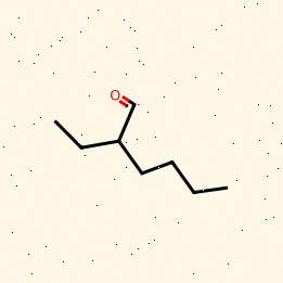 CCCCC([C]=O)CC